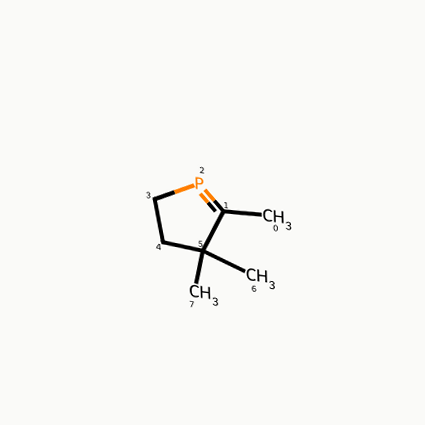 CC1=PCCC1(C)C